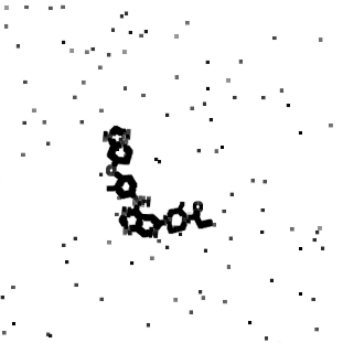 C=CC(=O)N1CCN(c2cc3c(Nc4ccc(Oc5ccn6ncnc6c5)c(C)c4)ncnc3cn2)C[C@H]1C